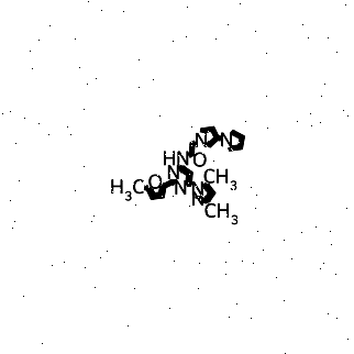 Cc1cc(C)n(-c2cc(NC(=O)CN3CCC(N4CCCC4)C3)nc(-c3ccc(C)o3)n2)n1